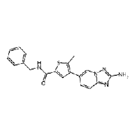 Cc1sc(C(=O)NCc2ccccc2)cc1-c1ccc2nc(N)nn2c1